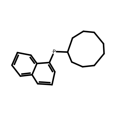 c1ccc2c([P]C3CCCCCCCC3)cccc2c1